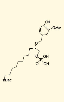 CCCCCCCCCCCCCCCCCCC[C@H](COP(=O)(O)O)OCc1ccc(C#N)c(OC)c1